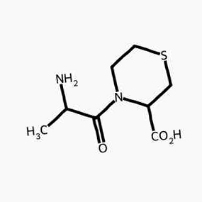 CC(N)C(=O)N1CCSCC1C(=O)O